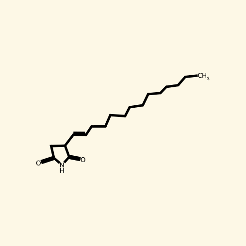 CCCCCCCCCCCCC=CC1CC(=O)NC1=O